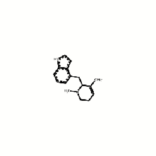 COC1=CCCN(C)C1Cc1cccc2[nH]ccc12